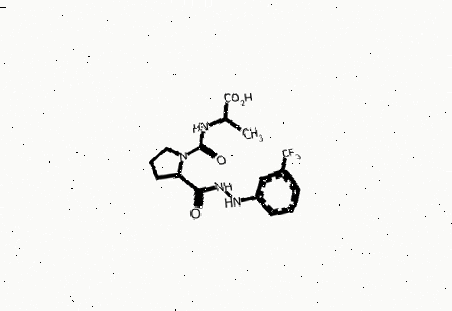 CC(NC(=O)N1CCCC1C(=O)NNc1cccc(C(F)(F)F)c1)C(=O)O